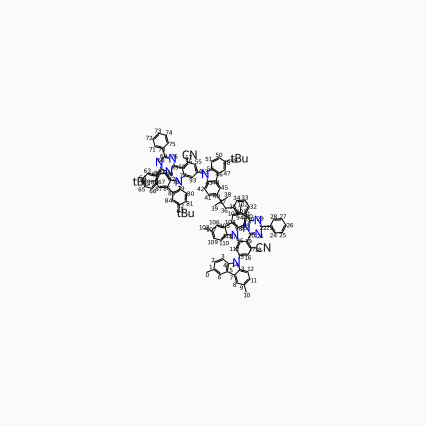 Cc1ccc2c(c1)c1cc(C)ccc1n2-c1cc(C#N)c(-c2nc(-c3ccccc3)nc(-c3cccc(CC(C)(C)c4ccc5c(c4)c4cc(C(C)(C)C)ccc4n5-c4cc(C#N)c(-c5nc(-c6ccccc6)nc(-c6ccccc6)n5)c(-n5c6ccc(C(C)(C)C)cc6c6cc(C(C)(C)C)ccc65)c4)c3)n2)c(-n2c3ccc(C)cc3c3cc(C)ccc32)c1